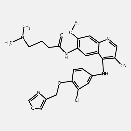 CCOc1cc2ncc(C#N)c(Nc3ccc(OCc4cocn4)c(Cl)c3)c2cc1NC(=O)CCCN(C)C